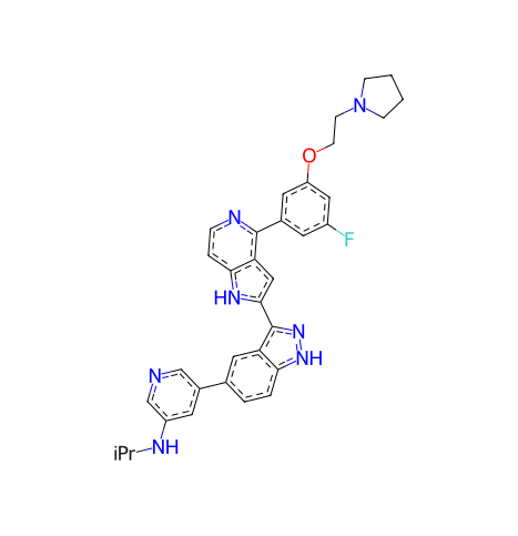 CC(C)Nc1cncc(-c2ccc3[nH]nc(-c4cc5c(-c6cc(F)cc(OCCN7CCCC7)c6)nccc5[nH]4)c3c2)c1